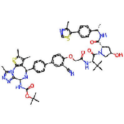 Cc1ncsc1-c1ccc([C@H](C)NC(=O)[C@@H]2C[C@@H](O)CN2C(=O)[C@@H](NC(=O)COc2ccc(-c3ccc(C4=NC(NC(=O)OC(C)(C)C)c5nnc(C)n5-c5sc(C)c(C)c54)cc3)cc2C#N)C(C)(C)C)cc1